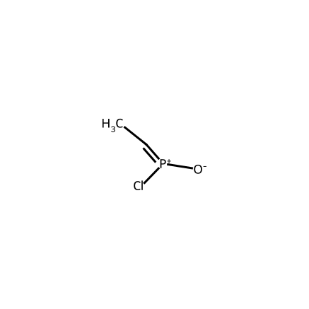 C/C=[P+](/[O-])Cl